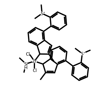 CC1=Cc2c(-c3ccccc3[S+](C)C)cccc2[CH]1[Zr]([Cl])([Cl])([CH]1C(C)=Cc2c(-c3ccccc3[S+](C)C)cccc21)[SiH](C)C